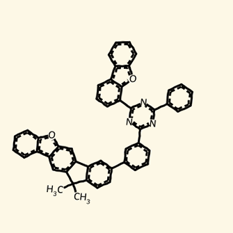 CC1(C)c2ccc(-c3cccc(-c4nc(-c5ccccc5)nc(-c5cccc6c5oc5ccccc56)n4)c3)cc2-c2cc3oc4ccccc4c3cc21